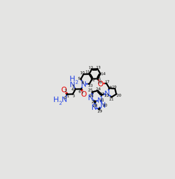 NC(=O)CC(N)C(=O)N1CCc2cccc(OCC3CCCN3c3ccnc4ncnn34)c2C1